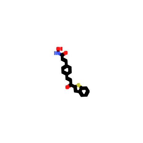 O=C(/C=C/c1ccc(/C=C/C(=O)c2cc3ccccc3s2)cc1)NO